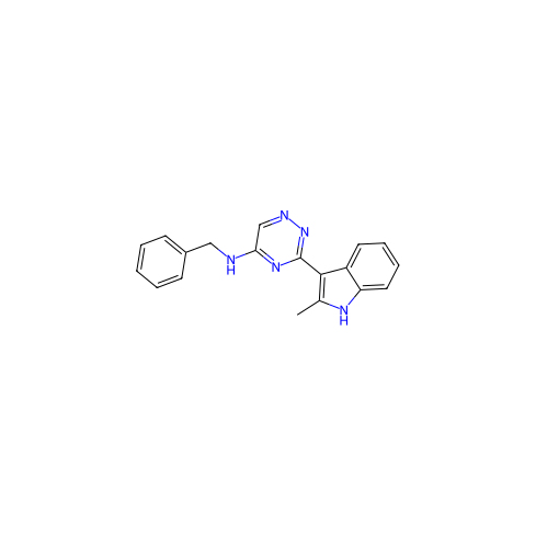 Cc1[nH]c2ccccc2c1-c1nncc(NCc2ccccc2)n1